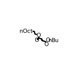 CCCCCCCCCCOC(=O)C=CC(=O)OCCCC